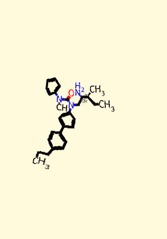 CCCc1ccc(-c2ccc(N(C[C@@H](N)[C@@H](C)CC)C(=O)N(C)c3ccccc3)cc2)cc1